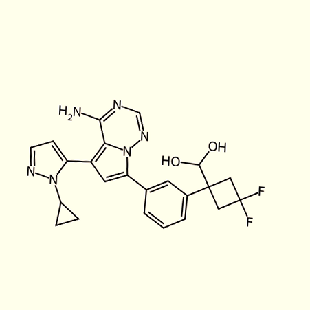 Nc1ncnn2c(-c3cccc(C4(C(O)O)CC(F)(F)C4)c3)cc(-c3ccnn3C3CC3)c12